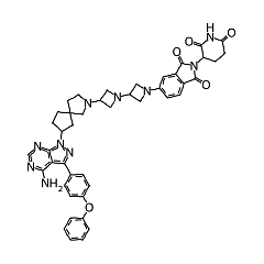 Nc1ncnc2c1c(-c1ccc(Oc3ccccc3)cc1)nn2C1CCC2(CCN(C3CN(C4CN(c5ccc6c(c5)C(=O)N(C5CCC(=O)NC5=O)C6=O)C4)C3)C2)C1